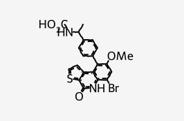 COc1cc(Br)c2[nH]c(=O)c3sccc3c2c1-c1ccc(C(C)NC(=O)O)cc1